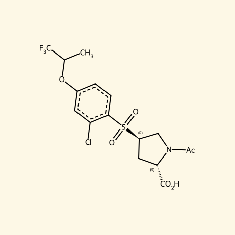 CC(=O)N1C[C@H](S(=O)(=O)c2ccc(OC(C)C(F)(F)F)cc2Cl)C[C@H]1C(=O)O